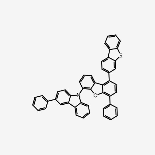 c1ccc(-c2ccc3c(c2)c2ccccc2n3-c2cccc3c2oc2c(-c4ccccc4)ccc(-c4ccc5c(c4)sc4ccccc45)c23)cc1